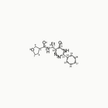 CCC(NC(=O)C1CCOC1)c1nnc(-c2ccccc2)[nH]c1=O